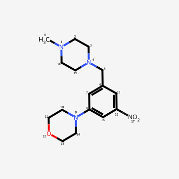 CN1CCN(Cc2cc(N3CCOCC3)cc([N+](=O)[O-])c2)CC1